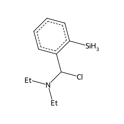 CCN(CC)C(Cl)c1ccccc1[SiH3]